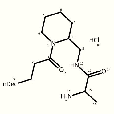 CCCCCCCCCCCCC(=O)N1CCCCC1CNC(=O)C(C)N.Cl